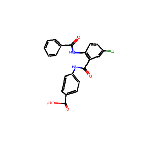 O=C(O)c1ccc(NC(=O)c2cc(Cl)ccc2NC(=O)c2ccccc2)cc1